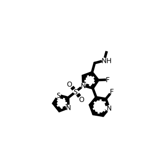 CNCc1cn(S(=O)(=O)c2nccs2)c(-c2cccnc2F)c1F